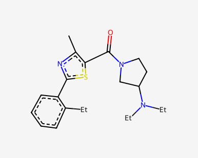 CCc1ccccc1-c1nc(C)c(C(=O)N2CCC(N(CC)CC)C2)s1